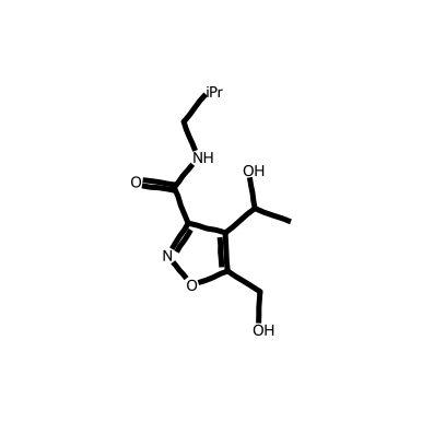 CC(C)CNC(=O)c1noc(CO)c1C(C)O